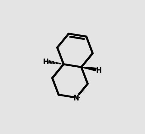 C1=CC[C@@H]2C[N]CC[C@H]2C1